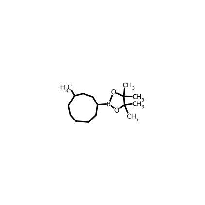 CC1CCCCCC(B2OC(C)(C)C(C)(C)O2)CC1